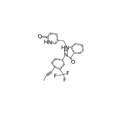 CC#Cc1ccc(NC(=O)c2ccccc2NCc2ccc(=O)[nH]c2)cc1C(F)(F)F